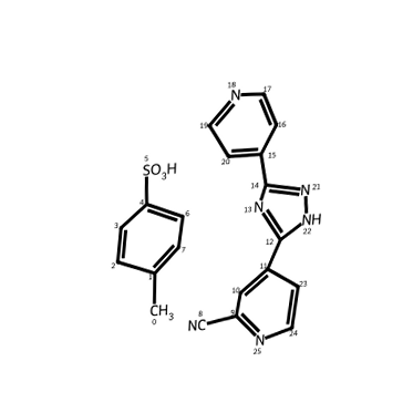 Cc1ccc(S(=O)(=O)O)cc1.N#Cc1cc(-c2nc(-c3ccncc3)n[nH]2)ccn1